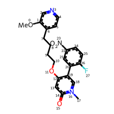 COc1cnccc1CCCCOc1cc(=O)n(C)cc1-c1cc([N+](=O)[O-])ccc1F